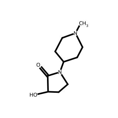 CN1CCC(N2CCC(O)C2=O)CC1